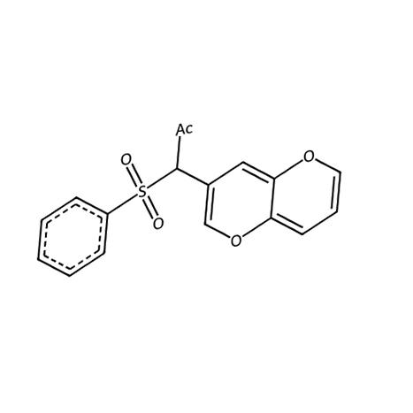 CC(=O)C(C1=COC2=CC=COC2=C1)S(=O)(=O)c1ccccc1